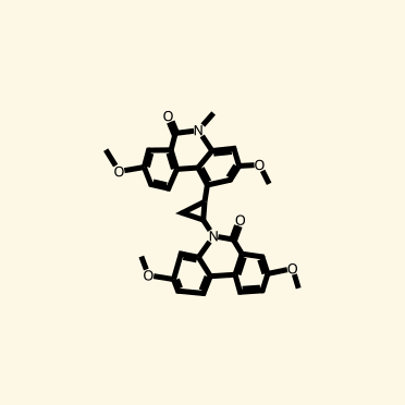 COc1ccc2c(c1)c(=O)n(C1CC1c1cc(OC)cc3c1c1ccc(OC)cc1c(=O)n3C)c1cc(OC)ccc21